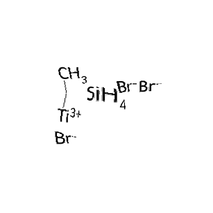 [Br-].[Br-].[Br-].[CH3][Ti+3].[SiH4]